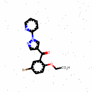 O=C(O)COc1ccc(Br)cc1C(=O)c1cnn(-c2ccccn2)c1